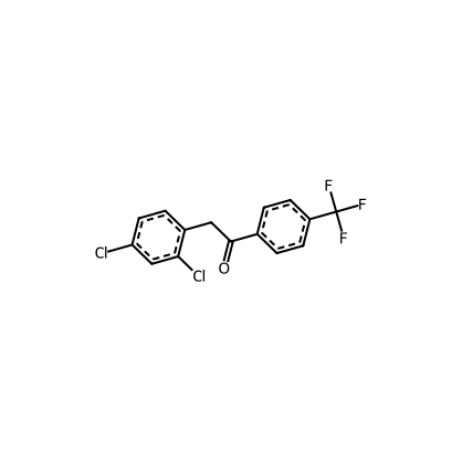 O=C(Cc1ccc(Cl)cc1Cl)c1ccc(C(F)(F)F)cc1